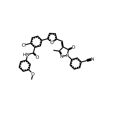 COc1cccc(NC(=O)c2cc(-c3ccc(C=C4C(=O)N(c5cccc(C#N)c5)N=C4C)o3)ccc2Cl)c1